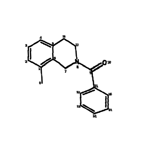 Cc1cccc2c1CN(C(=O)c1ccccc1)CC2